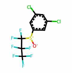 [O-][S+](c1cc(Cl)[c]c(Cl)c1)C(F)(F)C(F)(F)C(F)(F)F